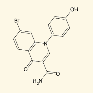 NC(=O)c1cn(-c2ccc(O)cc2)c2cc(Br)ccc2c1=O